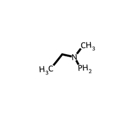 CCN(C)P